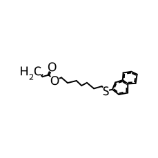 C=CC(=O)OCCCCCCCSc1ccc2ccccc2c1